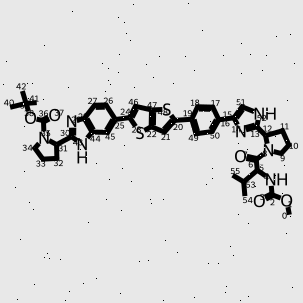 COC(=O)NC(C(=O)N1CCCC1c1nc(-c2ccc(-c3cc4sc(-c5ccc6nc(C7CCCN7C(=O)OC(C)(C)C)[nH]c6c5)cc4s3)cc2)c[nH]1)C(C)C